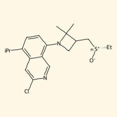 CC[S@+]([O-])CC1CN(c2ccc(C(C)C)c3cc(Cl)ncc23)C1(C)C